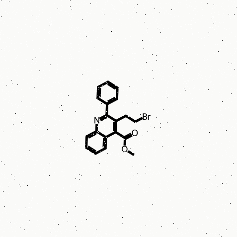 COC(=O)c1c(CCBr)c(-c2ccccc2)nc2ccccc12